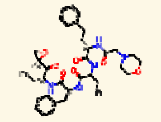 CC(C)CC(NC(=O)[C@H](CCc1ccccc1)NC(=O)CN1CCOCC1)C(=O)N[C@@H](Cc1ccccc1)C(=O)N[C@H](CC(C)C)C(=O)[C@@]1(C)CO1